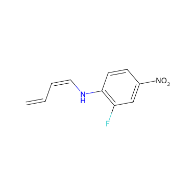 C=C/C=C\Nc1ccc([N+](=O)[O-])cc1F